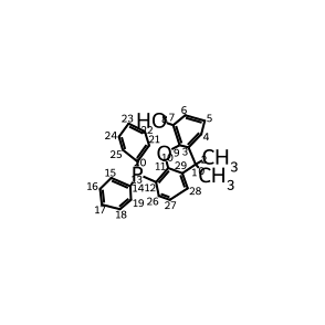 CC1(C)c2cccc(O)c2Oc2c(P(c3ccccc3)c3ccccc3)cccc21